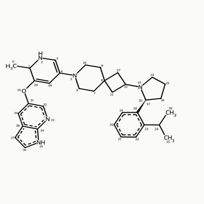 CC1NC=C(N2CCC3(CC2)CC(N2CCC[C@H]2c2ccccc2C(C)C)C3)C=C1Oc1cnc2[nH]ccc2c1